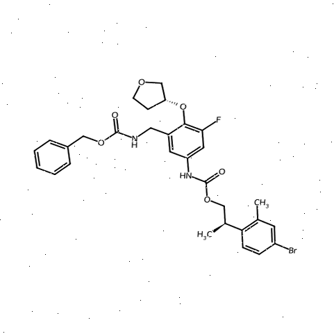 Cc1cc(Br)ccc1[C@@H](C)COC(=O)Nc1cc(F)c(O[C@@H]2CCOC2)c(CNC(=O)OCc2ccccc2)c1